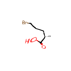 C[C@@H](CCCBr)C(=O)O